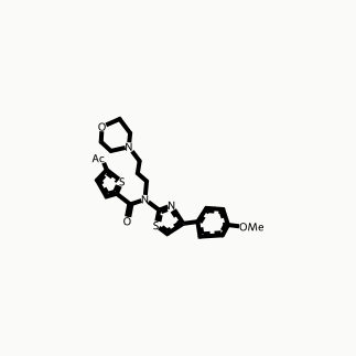 COc1ccc(-c2csc(N(CCCN3CCOCC3)C(=O)c3ccc(C(C)=O)s3)n2)cc1